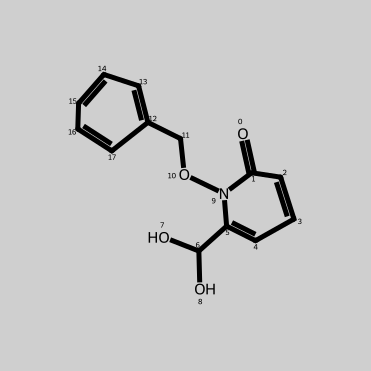 O=c1cccc(C(O)O)n1OCc1ccccc1